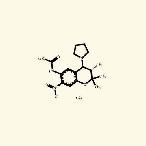 CC(=O)Nc1cc2c(cc1[N+](=O)[O-])OC(C)(C)[C@@H](O)[C@@H]2N1CCCC1.Cl